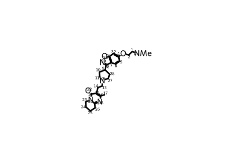 CNCCOc1ccc2c(C3CCN(CCc4c(C)nc5n(c4=O)CCCC5)CC3)noc2c1